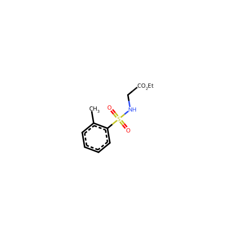 CCOC(=O)CNS(=O)(=O)c1ccccc1C